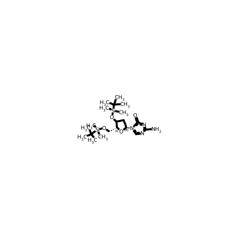 CC(C)(C)[Si](C)(C)OC[C@H]1O[C@@H](n2cnc(N)nc2=O)CC1O[Si](C)(C)C(C)(C)C